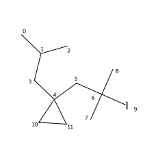 CC(C)CC1(CC(C)(C)I)CC1